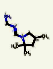 C[C@@H]1CN(/C=N/CN)C(C)(C)C1